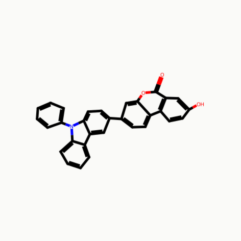 O=c1oc2cc(-c3ccc4c(c3)c3ccccc3n4-c3ccccc3)ccc2c2ccc(O)cc12